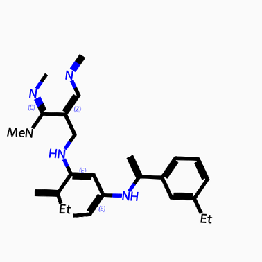 C=N/C=C(CN/C(=C/C(=C\C)NC(=C)c1cccc(CC)c1)C(=C)CC)\C(=N/C)NC